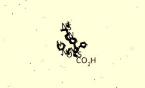 Cc1nc(C)c(-c2ccc3cc(-c4c(C5CCCC5)c5sc(C(=O)O)cc5n4CC(=O)N(C)C4CCN(C)CC4)ccc3n2)s1